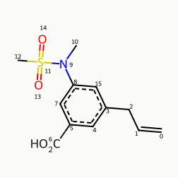 C=CCc1cc(C(=O)O)cc(N(C)S(C)(=O)=O)c1